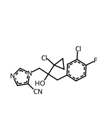 N#Cc1cncn1CC(O)(Cc1ccc(F)c(Cl)c1)C1(Cl)CC1